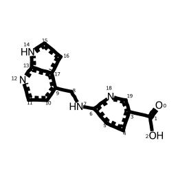 O=C(O)c1ccc(NCc2ccnc3[nH]ccc23)nc1